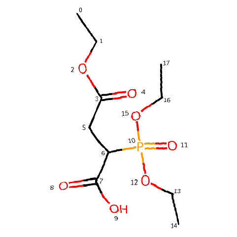 CCOC(=O)CC(C(=O)O)P(=O)(OCC)OCC